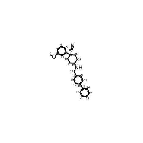 COc1cccc([C@]2(C#N)CC[C@@H](NCc3ccc(-c4ccccc4)cc3)CC2)c1